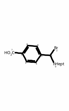 CCCCCCCC(Br)c1ccc(C(=O)O)cc1